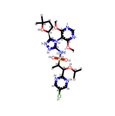 COc1ncnc(OC)c1-n1c(NS(=O)(=O)C(C)C(OC(C)C)c2ncc(Cl)cn2)nnc1[C@@H]1CCC(C)(C)O1